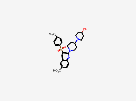 COc1ccc(S(=O)(=O)c2cc3cc(C(=O)O)ccc3nc2N2CCC(N3CCC(O)CC3)CC2)cc1